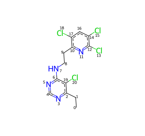 CCc1ncnc(NCCc2nc(Cl)c(Cl)cc2Cl)c1Cl